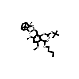 CCCCOC(=O)c1c(OC)cc(OC)c(CB2OC3CC4CC(C4(C)C)[C@]3(C)O2)c1OC(=O)OC(C)(C)C